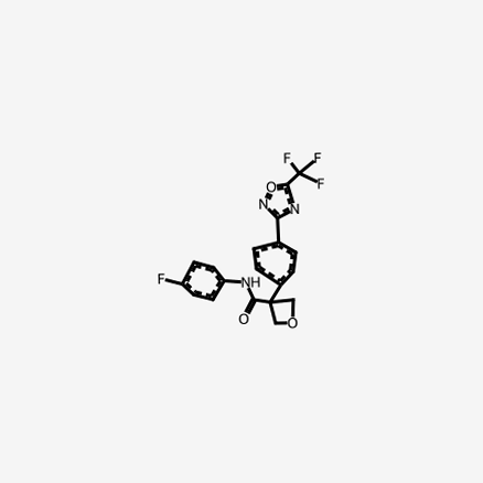 O=C(Nc1ccc(F)cc1)C1(c2ccc(-c3noc(C(F)(F)F)n3)cc2)COC1